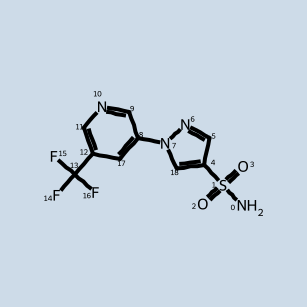 NS(=O)(=O)c1cnn(-c2cncc(C(F)(F)F)c2)c1